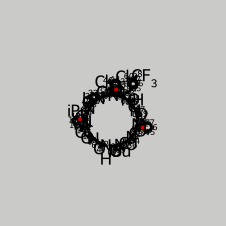 CC[C@H](C)[C@@H]1NC(=O)[C@H](C)N(C)C(=O)C[C@@H](C(=O)N2CCCC2)N(C)C(=O)[C@H](C(C)C)N(C)C(=O)C2(CCCC2)NC(=O)[C@H](Cc2ccccc2Cl)N(CC)C(=O)[C@H](CCc2ccc(C(F)(F)F)c(Cl)c2)NC(=O)CN(C)C(=O)[C@H](CC2CCCCC2)N(C)C(=O)CN(C)C(=O)CN(C)C1=O